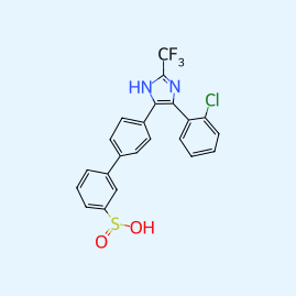 O=S(O)c1cccc(-c2ccc(-c3[nH]c(C(F)(F)F)nc3-c3ccccc3Cl)cc2)c1